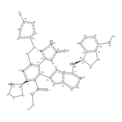 CCOC(=O)c1c([C@H]2CCCN2)nc(CCc2ccc(F)cc2)c(-c2n[nH]c(=O)s2)c1-c1cc2ccnc(N[C@@H]3CCc4c(OC)cccc43)c2s1